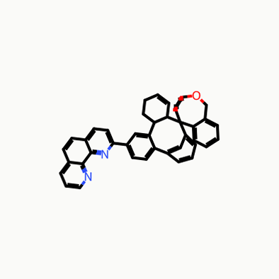 C1=CC2C(CC1)c1cc(-c3ccc4ccc5cccnc5c4n3)ccc1-c1cccc(c1)C21C2=CCCC=C2OCc2ccccc21